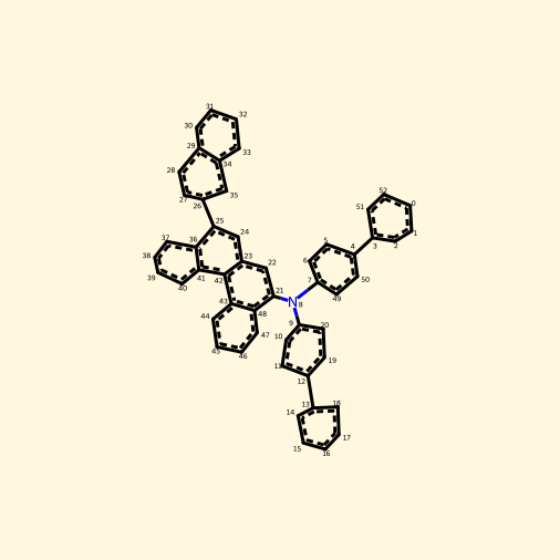 c1ccc(-c2ccc(N(c3ccc(-c4ccccc4)cc3)c3cc4cc(-c5ccc6ccccc6c5)c5ccccc5c4c4ccccc34)cc2)cc1